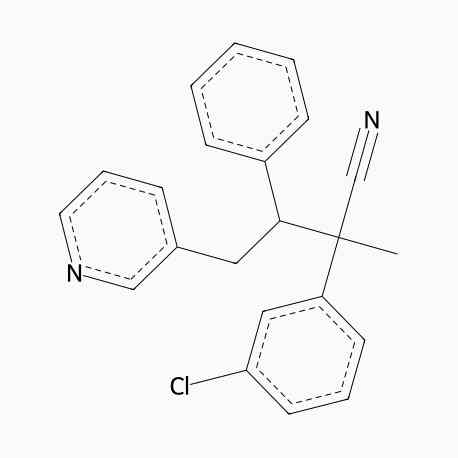 CC(C#N)(c1cccc(Cl)c1)C(Cc1cccnc1)c1ccccc1